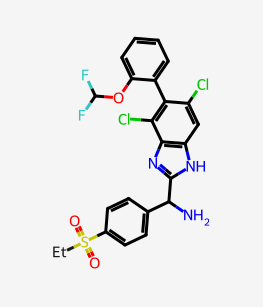 CCS(=O)(=O)c1ccc(C(N)c2nc3c(Cl)c(-c4ccccc4OC(F)F)c(Cl)cc3[nH]2)cc1